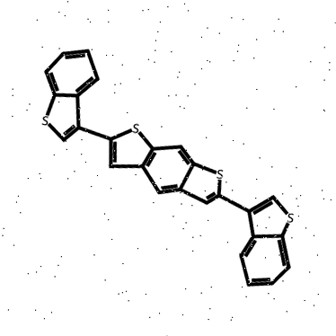 c1ccc2c(-c3cc4cc5cc(-c6csc7ccccc67)sc5cc4s3)csc2c1